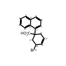 O=C(O)C1(c2cccc3ccccc23)CC=CC(Br)C1